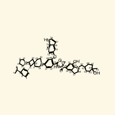 CC(C)c1ccccc1[C@@H]1CCCN1C1CC2(CCN(c3ccc(C(=O)NS(=O)(=O)c4cc(O)c5c(c4)CCN5CC4CCC(C)(O)CC4)c(Oc4cnc5[nH]ccc5c4)c3)CC2)C1